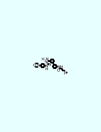 CN(C)C/C=C/C(=O)Nc1cccc(-c2cccc3c(N)nc(Nc4ccc(N5CCOCC5)cc4)nc23)c1